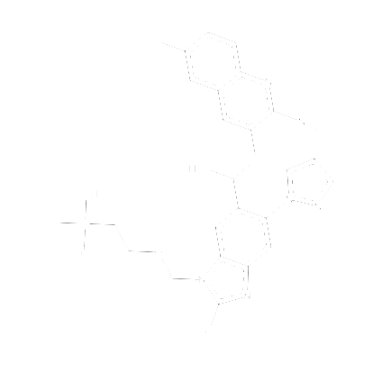 Cc1nc2cc(-n3cccn3)c(C(C)Oc3cc4cc(F)ccc4nc3N)cc2n1COCCS(C)(C)C